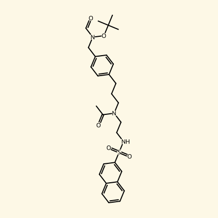 CC(=O)N(CCCc1ccc(CN(C=O)OC(C)(C)C)cc1)CCNS(=O)(=O)c1ccc2ccccc2c1